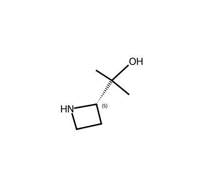 CC(C)(O)[C@@H]1CCN1